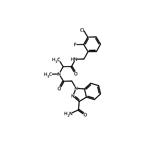 CC(C(=O)NCc1cccc(Cl)c1F)N(C)C(=O)Cn1nc(C(N)=O)c2ccccc21